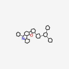 c1ccc(-c2cc(-c3ccccc3)cc(-c3cccc(-c4cccc5c4oc4c5ccc5c(-c6ccccc6)nc6ccccc6c54)c3)c2)cc1